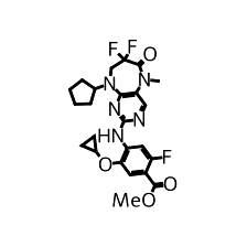 COC(=O)c1cc(OC2CC2)c(Nc2ncc3c(n2)N(C2CCCC2)CC(F)(F)C(=O)N3C)cc1F